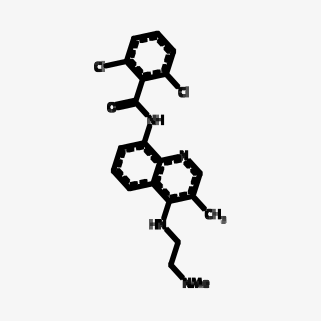 CNCCNc1c(C)cnc2c(NC(=O)c3c(Cl)cccc3Cl)cccc12